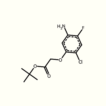 CC(C)(C)OC(=O)COc1cc(N)c(F)cc1Cl